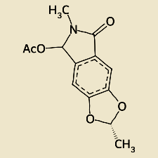 CC(=O)OC1c2cc3c(cc2C(=O)N1C)O[C@H](C)O3